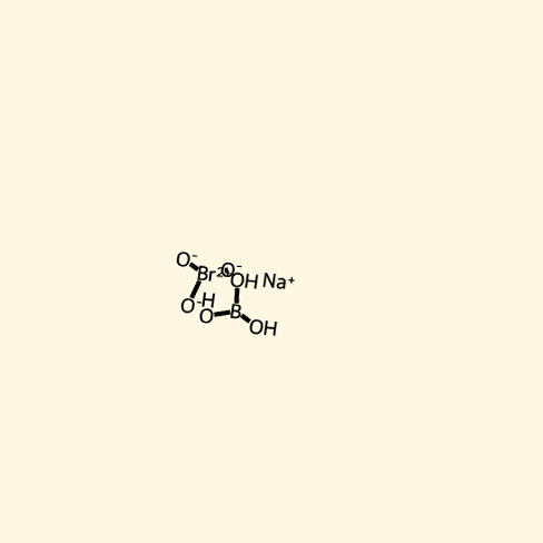 OB(O)O.[Na+].[O-][Br+2]([O-])[O-]